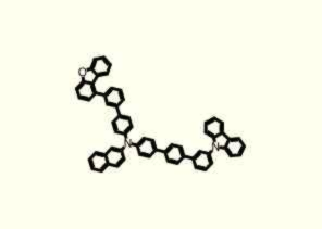 c1cc(-c2ccc(N(c3ccc(-c4ccc(-c5cccc(-n6c7ccccc7c7ccccc76)c5)cc4)cc3)c3ccc4ccccc4c3)cc2)cc(-c2cccc3oc4ccccc4c23)c1